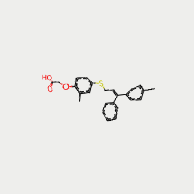 Cc1ccc(C(=CCSc2ccc(OCC(=O)O)c(C)c2)c2ccccc2)cc1